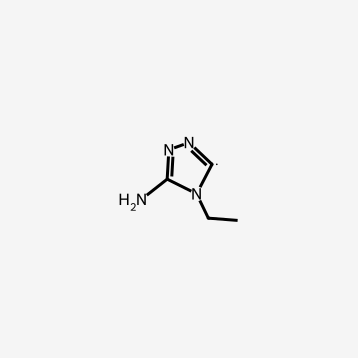 CCn1[c]nnc1N